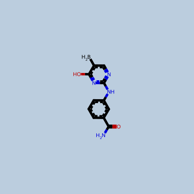 Bc1cnc(Nc2cccc(C(N)=O)c2)nc1O